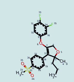 CCCC1(C)OCC(Oc2ccc(F)c(F)c2)=C1c1ccc(S(C)(=O)=O)cc1